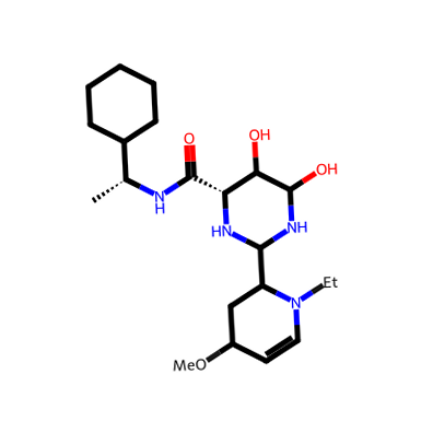 CCN1C=CC(OC)CC1C1NC(O)C(O)[C@@H](C(=O)N[C@H](C)C2CCCCC2)N1